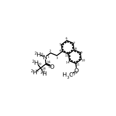 [2H]N(CCc1cccc2ccc(OC)cc12)C(=O)C([2H])([2H])[2H]